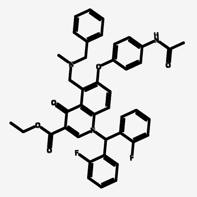 CCOC(=O)c1cn(C(c2ccccc2F)c2ccccc2F)c2ccc(Oc3ccc(NC(C)=O)cc3)c(CN(C)Cc3ccccc3)c2c1=O